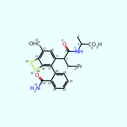 CC(C)CC(C(=O)NC(C)C(=O)O)c1cc([C]=O)c2ssc2c1-c1ccccc1C(N)=O